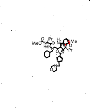 COC(=O)N[C@H](C(=O)NN(CC1CCCCC1)CC(OC(=O)c1ccc(CN2CCOCC2)cc1)C(C(=O)[C@@H](NC(=O)OC)C(C)C)C(N)c1ccccc1)C(C)C